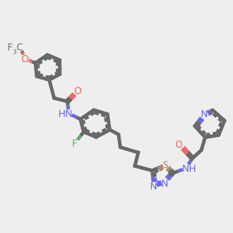 O=C(Cc1cccnc1)Nc1nnc(CCCCc2ccc(NC(=O)Cc3cccc(OC(F)(F)F)c3)c(F)c2)s1